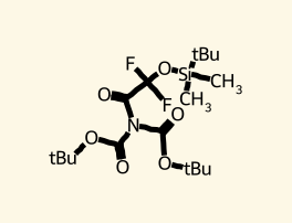 CC(C)(C)OC(=O)N(C(=O)OC(C)(C)C)C(=O)C(F)(F)O[Si](C)(C)C(C)(C)C